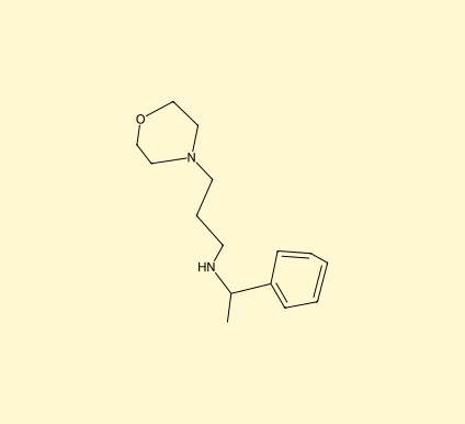 CC(NCCCN1CCOCC1)c1ccccc1